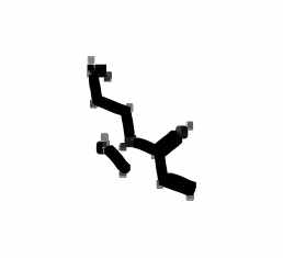 C=CC(=O)OCCN.CCl